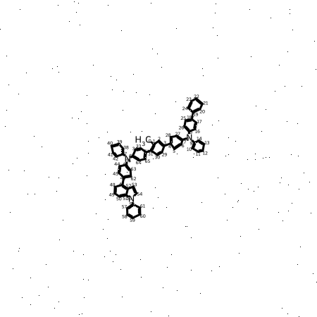 Cc1cc(-c2ccc(N(c3ccccc3)c3ccc(-c4ccccc4)cc3)cc2)ccc1-c1ccc(N(c2ccccc2)c2ccc(-c3cccc4c3ccn4-c3ccccc3)cc2)cc1